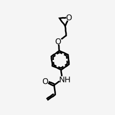 C=CC(=O)Nc1ccc(OCC2CO2)cc1